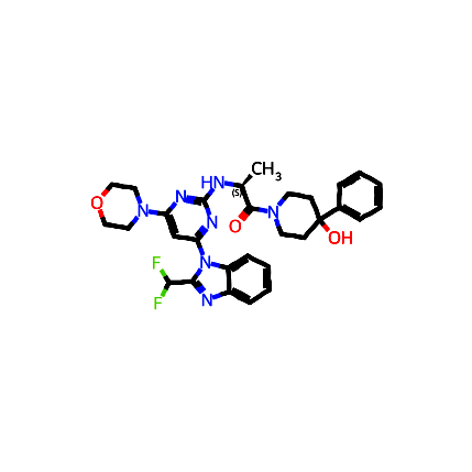 C[C@H](Nc1nc(N2CCOCC2)cc(-n2c(C(F)F)nc3ccccc32)n1)C(=O)N1CCC(O)(c2ccccc2)CC1